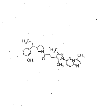 CCC(c1cccc(O)c1)C1CCN(C(=O)CCc2c(C)nn(-c3ccc4nnc(C)n4n3)c2C)C1